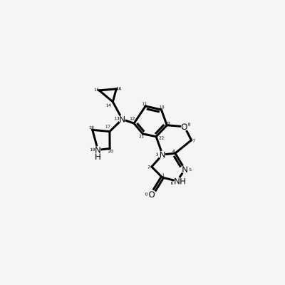 O=C1CN2C(=NN1)COc1ccc(N(C3CC3)C3CNC3)cc12